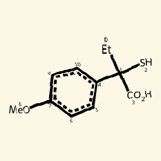 CCC(S)(C(=O)O)c1ccc(OC)cc1